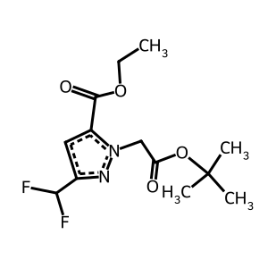 CCOC(=O)c1cc(C(F)F)nn1CC(=O)OC(C)(C)C